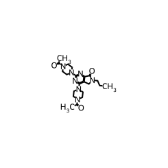 CCCN1Cc2c(nc(N3CCN(C(C)=O)CC3)nc2N2CCN(C(C)=O)CC2)C1=O